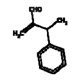 C=C(C=O)C(C)c1ccccc1